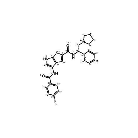 O=C(Nc1n[nH]c2sc(C(=O)N[C@H](CN3CCCC3)c3ccccc3)cc12)c1ccc(F)cc1